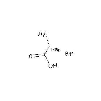 Br.Br.CCC(=O)O